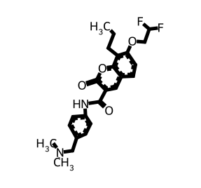 CCCc1c(OCC(F)F)ccc2cc(C(=O)Nc3ccc(CN(C)C)cc3)c(=O)oc12